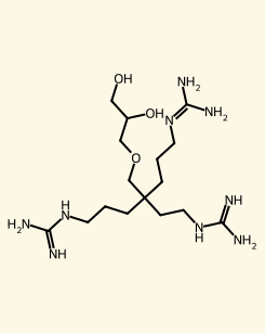 N=C(N)NCCCC(CCCN=C(N)N)(CCNC(=N)N)COCC(O)CO